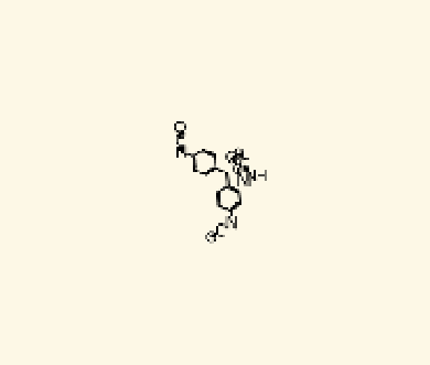 N=C=O.N=C=O.O=C=Nc1ccc(Cc2ccc(N=C=O)cc2)cc1